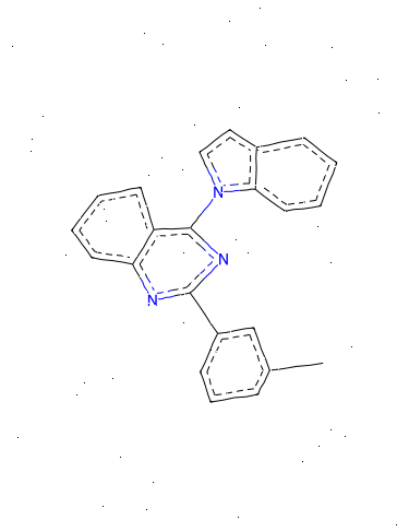 Cc1cccc(-c2nc(-n3ccc4ccccc43)c3ccccc3n2)c1